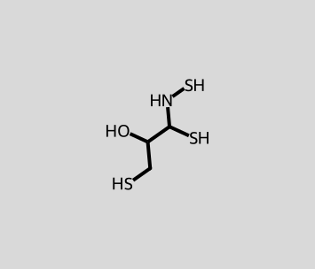 OC(CS)C(S)NS